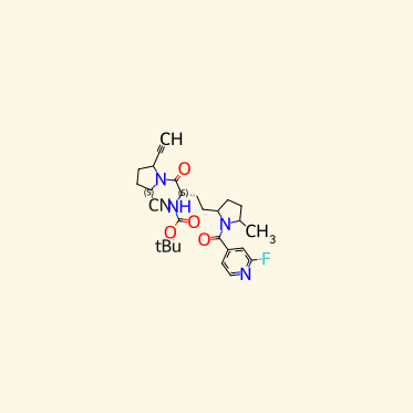 C#CC1CC[C@@H](C#N)N1C(=O)[C@H](CCC1CCC(C)N1C(=O)c1ccnc(F)c1)NC(=O)OC(C)(C)C